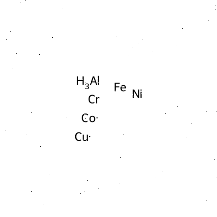 [AlH3].[Co].[Cr].[Cu].[Fe].[Ni]